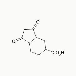 O=C(O)C1CCC2C(=O)CC(=O)C2C1